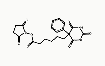 O=C1NC(=O)C(CCCCCC(=O)ON2C(=O)CCC2=O)(c2ccccc2)C(=O)N1